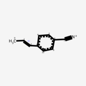 C/C=C/c1ccc(C#N)cc1